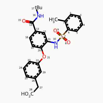 Cc1ccccc1S(=O)(=O)Nc1cc(C(=O)NC(C)(C)C)ccc1Oc1cccc(CC(=O)O)c1